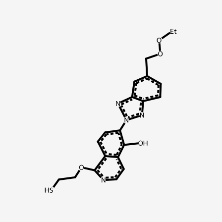 CCOOCc1ccc2nn(-c3ccc4c(OCCS)nccc4c3O)nc2c1